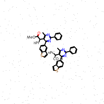 CCCC(C(=O)O)c1c(C)nc(-c2ccccc2)nc1-c1ccc2sccc2c1.CCCC(C(=O)OC)c1c(C)nc(-c2ccccc2)nc1-c1ccc2sccc2c1